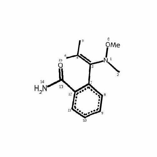 CON(C)C(=C(C)C)c1ccccc1C(N)=O